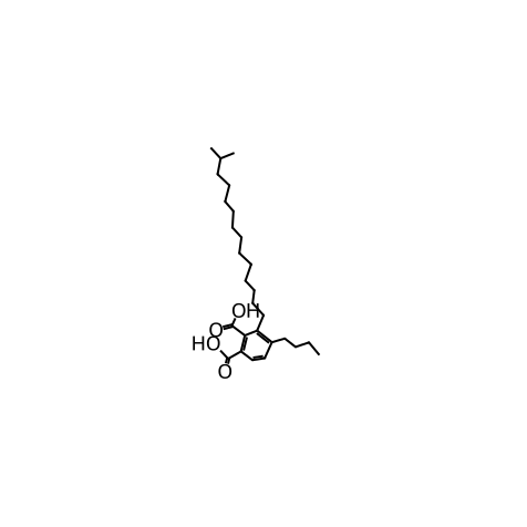 CCCCc1ccc(C(=O)O)c(C(=O)O)c1CCCCCCCCCCCCC(C)C